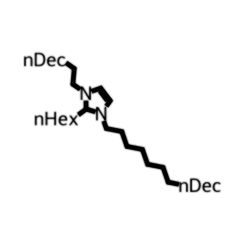 CCCCCCCCCCCCCCCCCN1C=CN(CCCCCCCCCCCC)C1CCCCCC